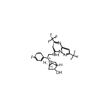 OC1C[C@@H]2C[C@@H]1CN2[C@H](CNc1cc(C(F)(F)F)nc2cc(C(F)(F)F)nn12)c1ccc(F)cc1